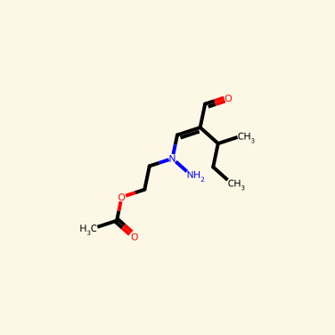 CCC(C)/C(C=O)=C\N(N)CCOC(C)=O